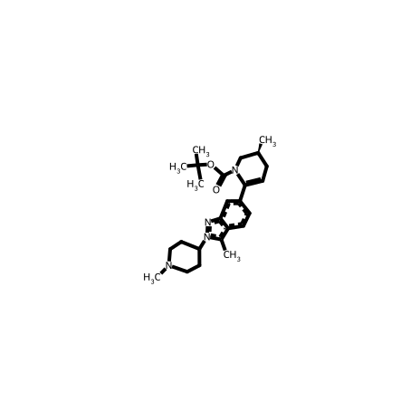 Cc1c2ccc(C3=CC[C@H](C)CN3C(=O)OC(C)(C)C)cc2nn1C1CCN(C)CC1